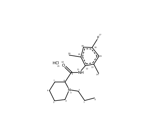 CCCN1CCCCC1C(=O)Nc1c(C)cc(F)cc1C.Cl